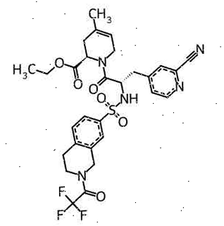 CCOC(=O)[C@H]1CC(C)=CCN1C(=O)[C@H](Cc1ccnc(C#N)c1)NS(=O)(=O)c1ccc2c(c1)CN(C(=O)C(F)(F)F)CC2